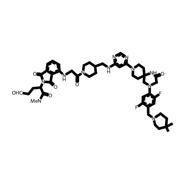 CNC(=O)C(CCC=O)N1C(=O)c2cccc(NCC(=O)N3CCC(CNc4cc(N5CCC6(CC5)CN(c5cc(F)c(CN7CCC(C)(C)CC7)cc5F)CC(=O)N6)ncn4)CC3)c2C1=O